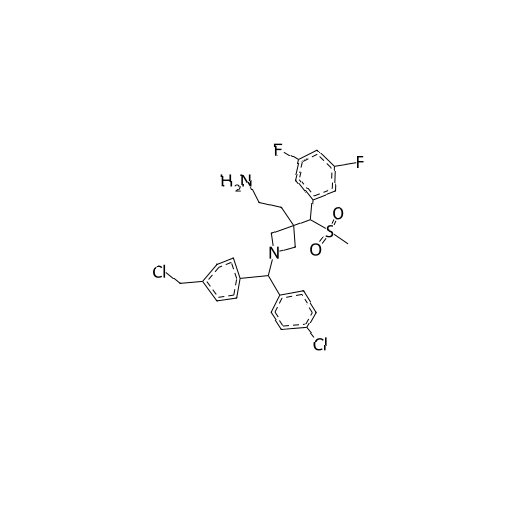 CS(=O)(=O)C(c1cc(F)cc(F)c1)C1(CCN)CN(C(c2ccc(Cl)cc2)c2ccc(CCl)cc2)C1